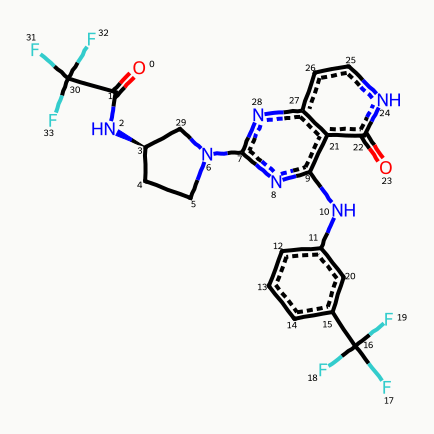 O=C(N[C@@H]1CCN(c2nc(Nc3cccc(C(F)(F)F)c3)c3c(=O)[nH]ccc3n2)C1)C(F)(F)F